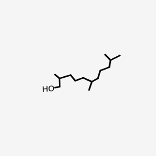 CC(C)CCCC(C)CCCC(C)CO